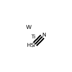 N#[SiH].[Ti].[W]